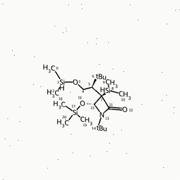 C[SiH](C)OC[C@@H](C(C)(C)C)[C@]1([SiH](C)C)C(=O)N(C(C)(C)C)[C@@H]1O[Si](C)(C)C